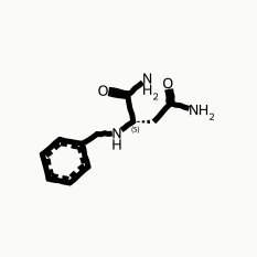 NC(=O)C[C@H](NCc1ccccc1)C(N)=O